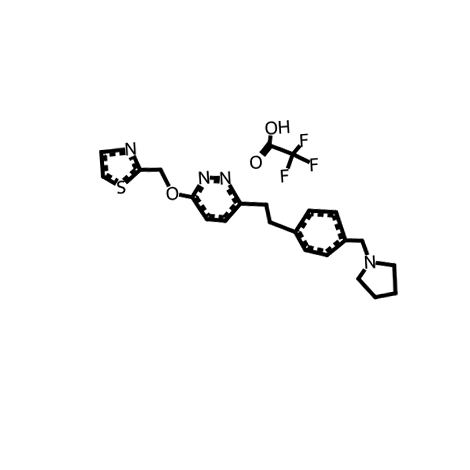 O=C(O)C(F)(F)F.c1csc(COc2ccc(CCc3ccc(CN4CCCC4)cc3)nn2)n1